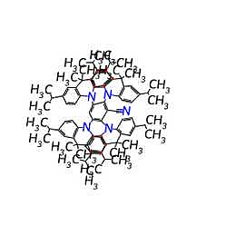 CC(C)c1ccc2c(c1)C(C)(C)c1cc(C(C)C)ccc1N2c1cc(N2c3ccc(C(C)C)cc3C(C)(C)c3cc(C(C)C)ccc32)c(N2c3ccc(C(C)C)cc3C(C)(C)c3cc(C(C)C)ccc32)c(C#N)c1N1c2ccc(C(C)C)cc2C(C)(C)c2cc(C(C)C)ccc21